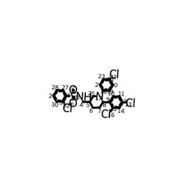 O=S(=O)(NCC1CCC(c2ccc(Cl)cc2Cl)N(c2ccc(Cl)cc2)C1)c1ccccc1Cl